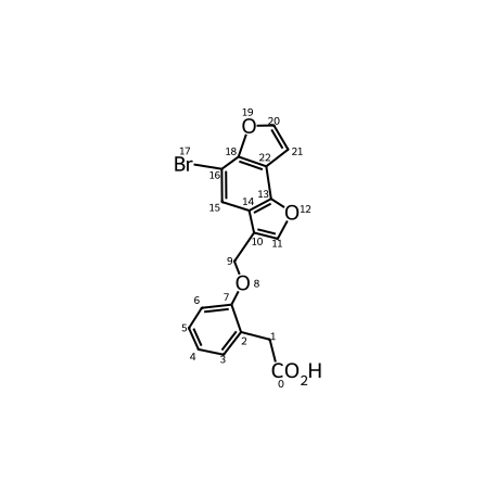 O=C(O)Cc1ccccc1OCc1coc2c1cc(Br)c1occc12